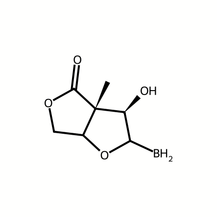 BC1OC2COC(=O)[C@]2(C)[C@H]1O